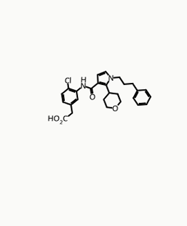 O=C(O)Cc1ccc(Cl)c(NC(=O)c2ccn(CCCc3ccccc3)c2C2CCOCC2)c1